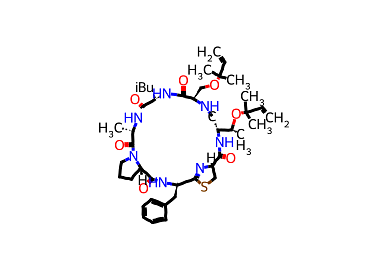 C=CC(C)(C)OC[C@H]1NC[C@H]([C@@H](C)OC(C)(C)C=C)NC(=O)[C@@H]2CSC(=N2)[C@@H](Cc2ccccc2)NC(=O)[C@@H]2CCCN2C(=O)[C@H](C)NC(=O)[C@H]([C@@H](C)CC)NC1=O